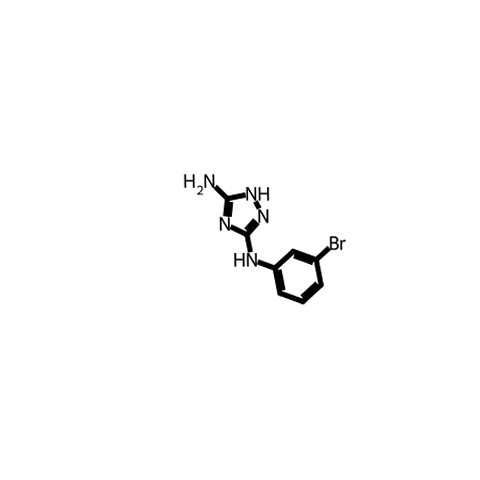 Nc1nc(Nc2cccc(Br)c2)n[nH]1